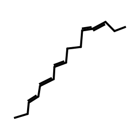 CCC=C=CCC/C=C/C=C/C=C/CC